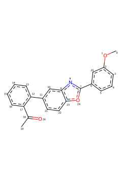 COc1cccc(-c2nc3cc(-c4ccccc4C(C)=O)ccc3o2)c1